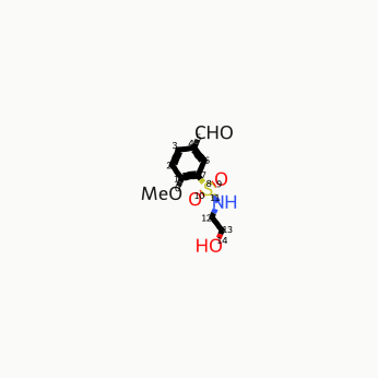 COc1ccc(C=O)cc1S(=O)(=O)NCCO